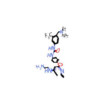 C=C/N=C(\C=C(/C)NCCN)Oc1ccc(NC(=O)Nc2ccc(CN(CC)CCC)c(C(F)(F)F)c2)cc1